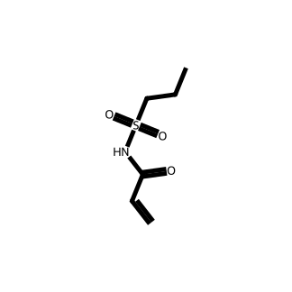 C=CC(=O)NS(=O)(=O)CCC